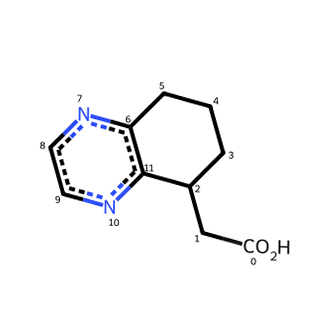 O=C(O)CC1CCCc2nccnc21